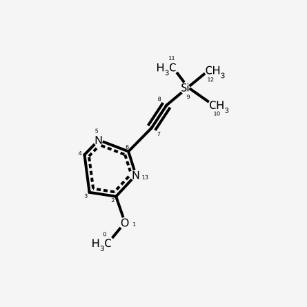 COc1ccnc(C#C[Si](C)(C)C)n1